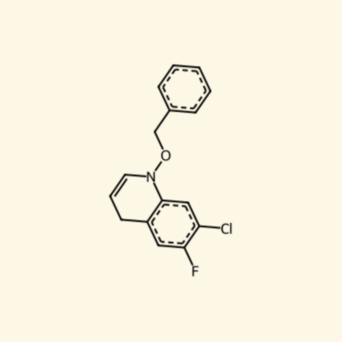 Fc1cc2c(cc1Cl)N(OCc1ccccc1)C=CC2